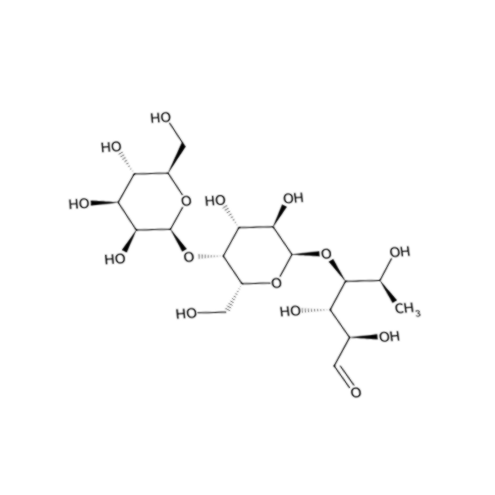 C[C@H](O)[C@H](O[C@H]1O[C@H](CO)[C@H](O[C@@H]2O[C@H](CO)[C@@H](O)[C@H](O)[C@@H]2O)[C@H](O)[C@H]1O)[C@@H](O)[C@@H](O)C=O